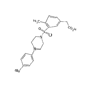 Cc1ccc(CC(=O)O)cc1S(=O)(=O)N1CCN(c2ccc(C(C)(C)C)cc2)CC1